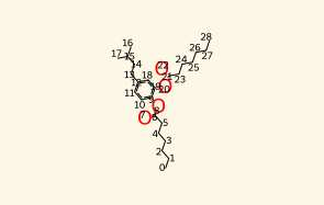 CCCCCCC(=O)Oc1ccc(CCC(C)C)cc1OC(=O)CCCCCC